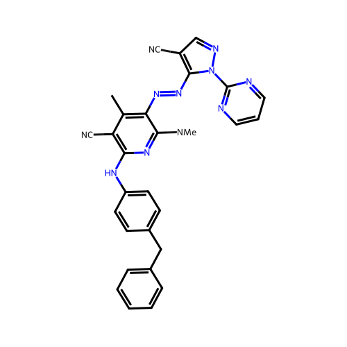 CNc1nc(Nc2ccc(Cc3ccccc3)cc2)c(C#N)c(C)c1/N=N/c1c(C#N)cnn1-c1ncccn1